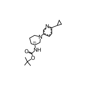 CC(C)(C)OC(=O)N[C@H]1CCCN(c2ccc(C3CC3)nc2)C1